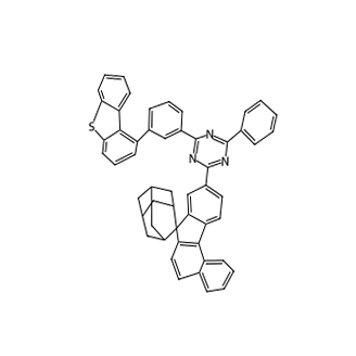 c1ccc(-c2nc(-c3cccc(-c4cccc5sc6ccccc6c45)c3)nc(-c3ccc4c(c3)C3(c5ccc6ccccc6c5-4)C4CC5CC(C4)CC3C5)n2)cc1